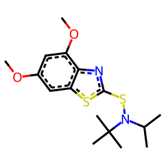 COc1cc(OC)c2nc(SN(C(C)C)C(C)(C)C)sc2c1